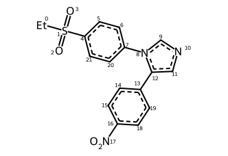 CCS(=O)(=O)c1ccc(-n2cncc2-c2ccc([N+](=O)[O-])cc2)cc1